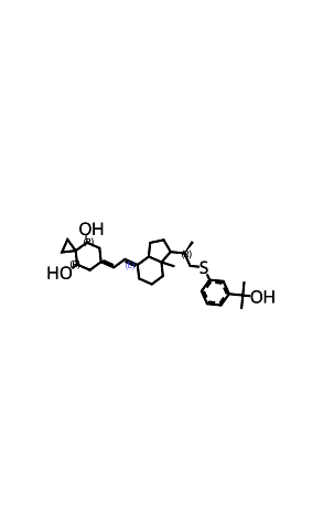 C[C@@H](CSc1cccc(C(C)(C)O)c1)C1CCC2/C(=C/C=C3C[C@@H](O)C4(CC4)[C@H](O)C3)CCCC21C